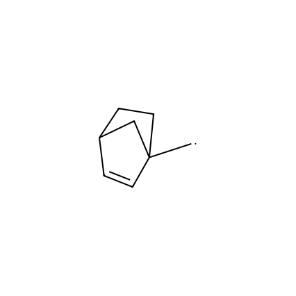 [CH2]C12C=CC(CC1)C2